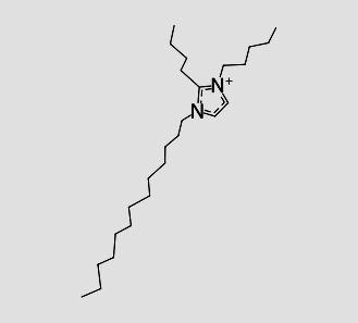 CCCCCCCCCCCCCn1cc[n+](CCCCC)c1CCCC